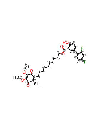 COC1=C(OC)C(=O)C(CCCCCCCCCCOC(=O)c2cc(-c3ccc(F)cc3F)ccc2O)=C(C)C1=O